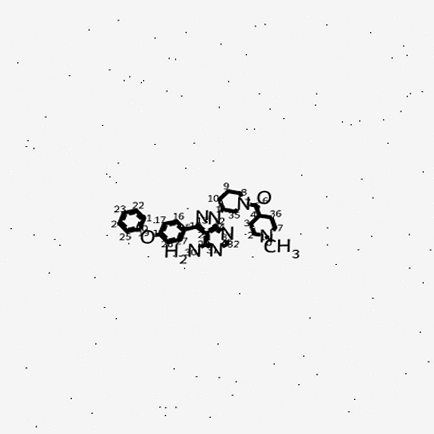 CN1CCC(C(=O)N2CCCC(n3nc(-c4ccc(Oc5ccccc5)cc4)c4c(N)ncnc43)C2)CC1